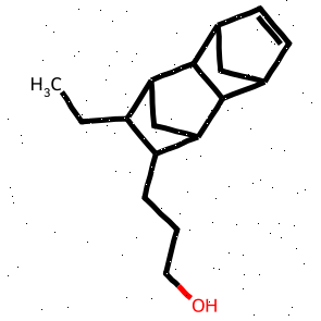 CCC1C(CCCO)C2CC1C1C3C=CC(C3)C21